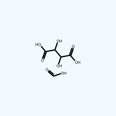 O=C(O)C(O)C(O)C(=O)O.O=CO